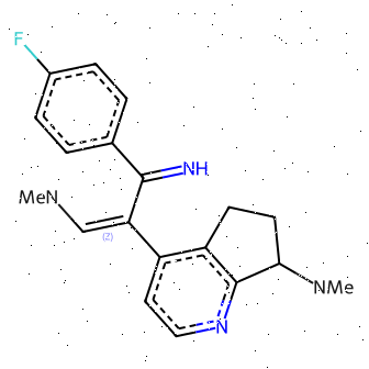 CN/C=C(\C(=N)c1ccc(F)cc1)c1ccnc2c1CCC2NC